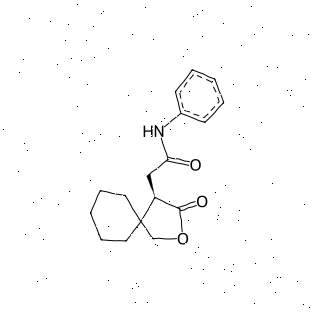 O=C(C[C@H]1C(=O)OCC12CCCCC2)Nc1ccccc1